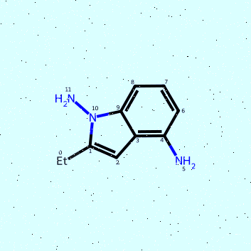 CCc1cc2c(N)cccc2n1N